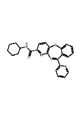 O=C(NC1CCCCC1)c1ccc2c(n1)N=C(c1ccccn1)c1ccccc1S2